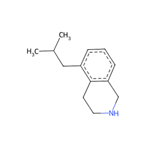 CC(C)Cc1cccc2c1CCNC2